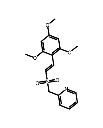 COc1cc(OC)c(C=CS(=O)(=O)Cc2ccccn2)c(OC)c1